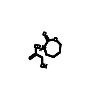 C=C(CO)C(=O)OCC.O=C1CCCCCO1